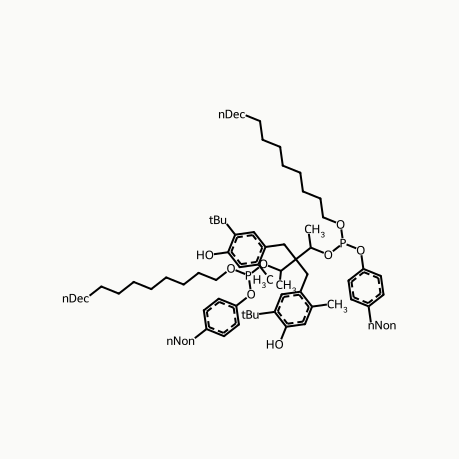 CCCCCCCCCCCCCCCCCCOP(Oc1ccc(CCCCCCCCC)cc1)OC(C)C(Cc1cc(C(C)(C)C)c(O)cc1C)(Cc1cc(C(C)(C)C)c(O)cc1C)C(C)OP(OCCCCCCCCCCCCCCCCCC)Oc1ccc(CCCCCCCCC)cc1